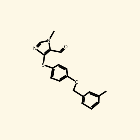 Cc1cccc(COc2ccc(Sc3ncn(C)c3C=O)cc2)c1